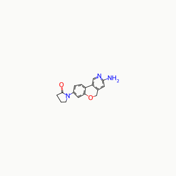 Nc1cc2c(cn1)-c1ccc(N3CCCC3=O)cc1OC2